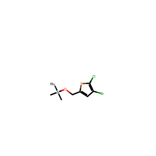 CC(C)(C)[Si](C)(C)OCc1cc(Br)c(Cl)s1